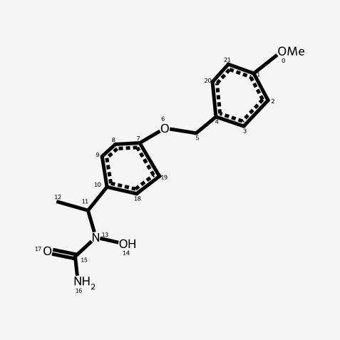 COc1ccc(COc2ccc(C(C)N(O)C(N)=O)cc2)cc1